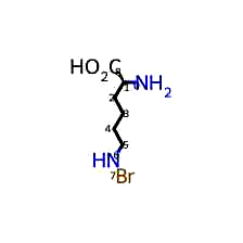 N[C@@H](CCCCNBr)C(=O)O